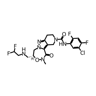 CN1O[C@H](CNCC(F)F)Cn2nc3c(c2C1=O)CN(C(=O)Nc1cc(Cl)c(F)cc1F)CC3